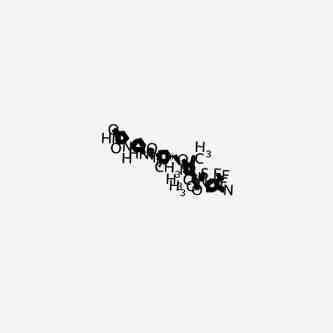 CCc1cc(N2C(=S)N(c3ccc(C#N)c(C(F)(F)F)c3)C(=O)C2(C)C)cnc1OCC[C@@H]1CCN(CC(=O)Nc2cccc(NC3CCC(=O)NC3=O)c2)[C@H](C)C1